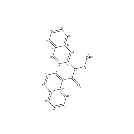 CC(=O)OCC(C(=O)c1cccc2ccccc12)c1ccc2ccccc2c1